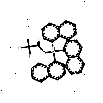 O=C(O[PH](c1cccc2ccccc12)(c1cccc2ccccc12)c1cccc2ccccc12)C(F)(F)F